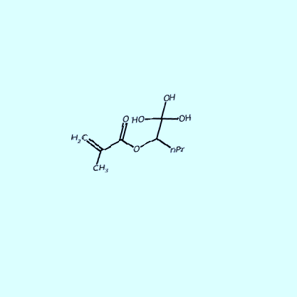 C=C(C)C(=O)OC(CCC)C(O)(O)O